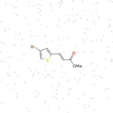 COC(=O)C=Cc1cc(Br)cs1